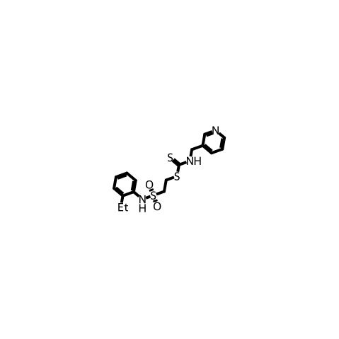 CCc1ccccc1NS(=O)(=O)CCSC(=S)NCc1cccnc1